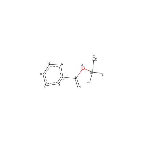 C=C(OC(C)(C)CC)c1ccccc1